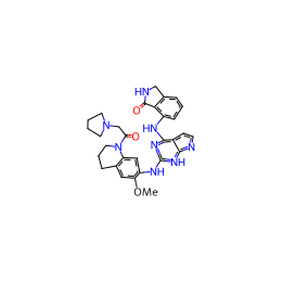 COc1cc2c(cc1Nc1nc(Nc3cccc4c3C(=O)NC4)c3ccnc-3[nH]1)N(C(=O)CN1CCCC1)CCC2